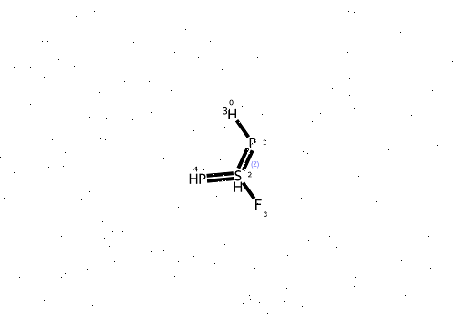 [3H]/P=[SH](/F)=P